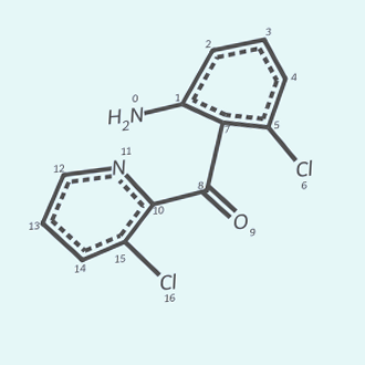 Nc1cccc(Cl)c1C(=O)c1ncccc1Cl